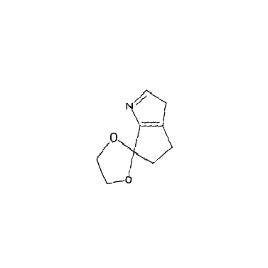 C1=NC2=C(C1)CCC21OCCO1